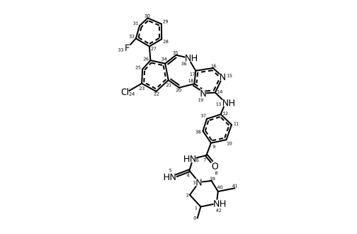 CC1CN(C(=N)NC(=O)c2ccc(Nc3ncc4c(n3)C=c3cc(Cl)cc(-c5ccccc5F)c3=CN4)cc2)CC(C)N1